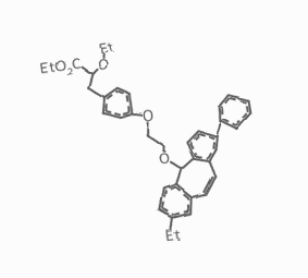 CCOC(=O)C(Cc1ccc(OCCOC2c3ccc(CC)cc3C=Cc3cc(-c4ccccc4)ccc32)cc1)OCC